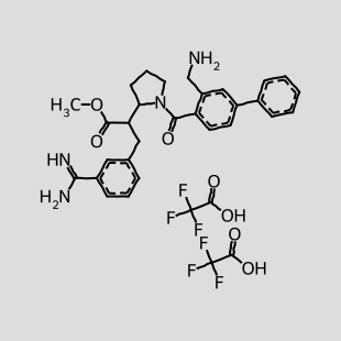 COC(=O)C(Cc1cccc(C(=N)N)c1)C1CCCN1C(=O)c1ccc(-c2ccccc2)cc1CN.O=C(O)C(F)(F)F.O=C(O)C(F)(F)F